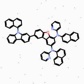 c1ccc(N(c2cc(N(c3ccc4ccccc4c3)c3ccccn3)c3oc4ccc(-c5ccc6c7ccccc7n(-c7cccc8ccccc78)c6c5)cc4c3c2)c2cccc3ccccc23)nc1